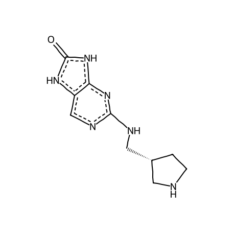 O=c1[nH]c2cnc(NC[C@@H]3CCNC3)nc2[nH]1